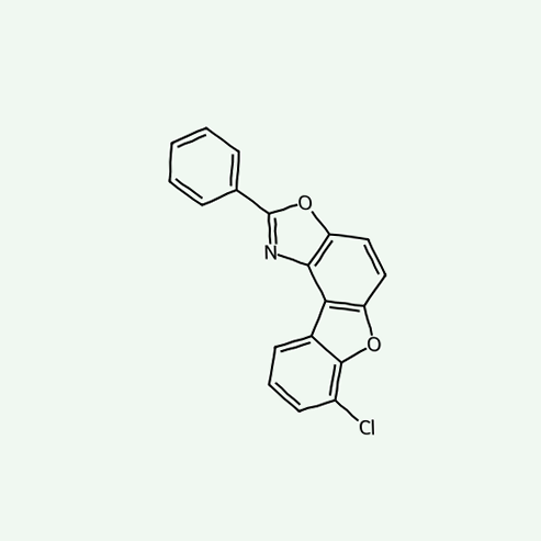 Clc1cccc2c1oc1ccc3oc(-c4ccccc4)nc3c12